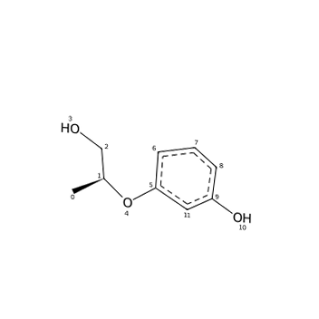 C[C@@H](CO)Oc1cccc(O)c1